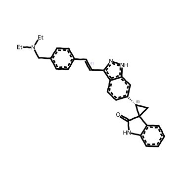 CCN(CC)Cc1ccc(/C=C/c2n[nH]c3cc([C@@H]4CC45C(=O)Nc4ccccc45)ccc23)cc1